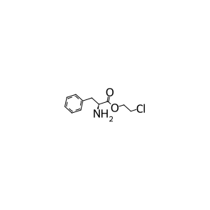 N[C@@H](Cc1ccccc1)C(=O)OCCCl